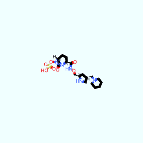 O=C(NOC[C@@H]1C[C@H](CN2CCCCC2)CN1)[C@@H]1CC[C@@H]2CN1C(=O)N2OS(=O)(=O)O